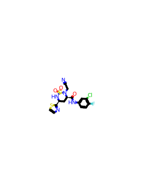 N#CCN1[C@@H](C(=O)Nc2ccc(F)c(Cl)c2)C[C@@H](c2nccs2)NS1(=O)=O